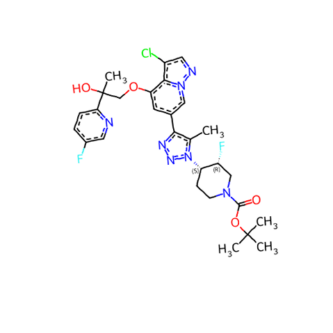 Cc1c(-c2cc(OCC(C)(O)c3ccc(F)cn3)c3c(Cl)cnn3c2)nnn1[C@H]1CCN(C(=O)OC(C)(C)C)C[C@H]1F